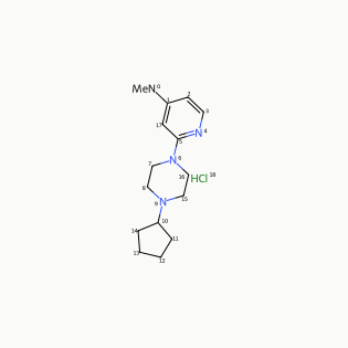 CNc1ccnc(N2CCN(C3CCCC3)CC2)c1.Cl